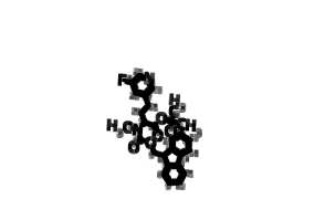 CN(C(=O)OCC1c2ccccc2-c2ccccc21)C(CCc1cncc(F)c1)C(=O)OC(C)(C)C